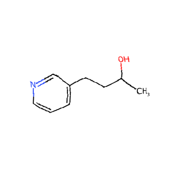 CC(O)CCc1cccnc1